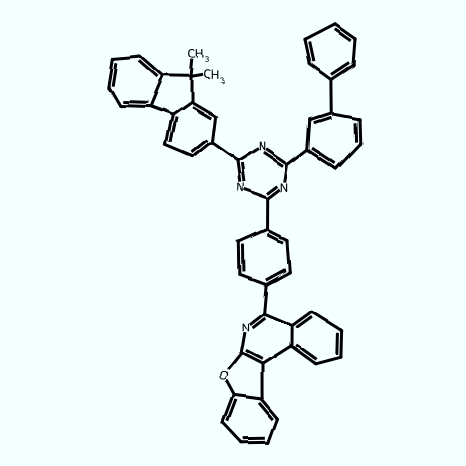 CC1(C)c2ccccc2-c2ccc(-c3nc(-c4ccc(-c5nc6oc7ccccc7c6c6ccccc56)cc4)nc(-c4cccc(-c5ccccc5)c4)n3)cc21